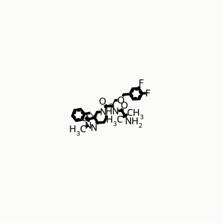 CN1N=C2CCN(C(=O)[C@@H](COCc3ccc(F)c(F)c3)NC(=O)C(C)(C)N)C[C@]2(Cc2ccccc2)C1=O